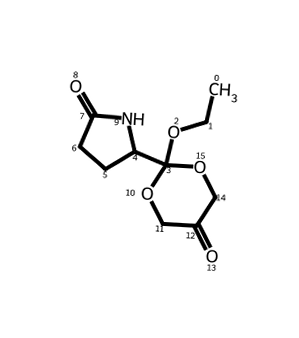 CCOC1(C2CCC(=O)N2)OCC(=O)CO1